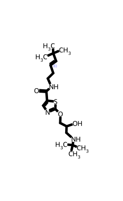 CC(C)(C)/C=C/CCNC(=O)c1cnc(OCC(O)CNC(C)(C)C)s1